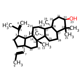 C=C(C)[C@@H]1CC[C@]2(/C=C/C)CC[C@]3(C)C(CCC4[C@@]5(C)CC[C@@H](O)C(C)(C)C5CC[C@]43C)C12